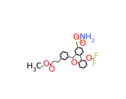 CCOC(=O)CCc1cccc(C2Oc3cccc(OC(F)F)c3-c3ccc(CS(N)(=O)=O)cc32)c1